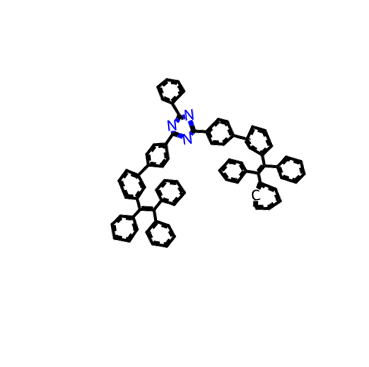 c1ccc(C(=C(c2ccccc2)c2cccc(-c3ccc(-c4nc(-c5ccccc5)nc(-c5ccc(-c6cccc(C(=C(c7ccccc7)c7ccccc7)c7ccccc7)c6)cc5)n4)cc3)c2)c2ccccc2)cc1